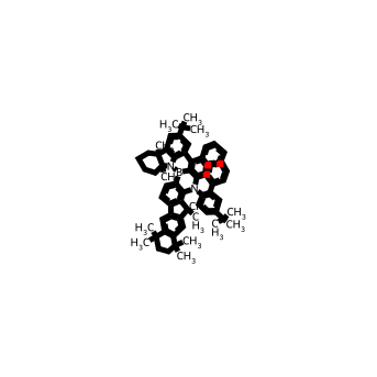 CC(C)(C)c1ccc(N2c3cc4ccccc4c4c3B(c3ccc5c(c32)C(C)(C)c2cc3c(cc2-5)C(C)(C)CCC3(C)C)N2c3c-4cc(C(C)(C)C)cc3C3(C)CCCCC23C)c(-c2ccccc2)c1